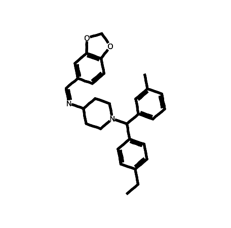 CCc1ccc(C(c2cccc(C)c2)N2CCC(/N=C\c3ccc4c(c3)OCO4)CC2)cc1